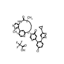 C[C@@H]1CCC[C@H](n2cnc(-c3cc(Cl)ccc3-n3cc(C4CC4)nn3)cc2=O)c2cc(ccn2)-c2c(cnn2C)NC1=O.O=C(O)C(F)(F)F